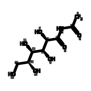 O=C(NC(=O)C(F)(F)F)[C@H](O)[C@@H](O)[C@H](O)[C@H](O)CO